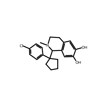 CN1CCc2cc(O)c(O)cc2C1C1(c2ccc(Cl)cc2)CCCC1